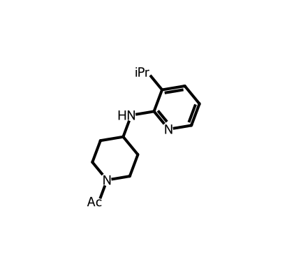 CC(=O)N1CCC(Nc2ncccc2C(C)C)CC1